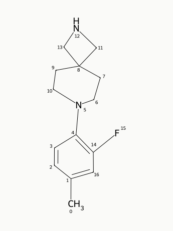 Cc1ccc(N2CCC3(CC2)CNC3)c(F)c1